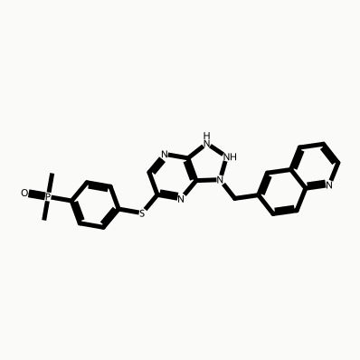 CP(C)(=O)c1ccc(Sc2cnc3c(n2)N(Cc2ccc4ncccc4c2)NN3)cc1